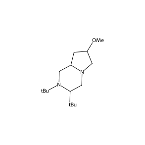 COC1CC2CN(C(C)(C)C)C(C(C)(C)C)CN2C1